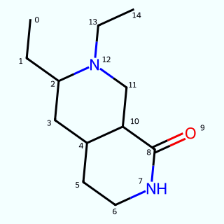 CCC1CC2CCNC(=O)C2CN1CC